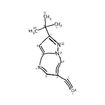 C#Cc1cnc2cc(C(C)(C)C)nn2c1